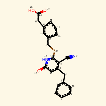 N#Cc1c(Cc2ccccc2)cc(=O)[nH]c1SCc1cccc(CC(=O)O)c1